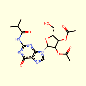 CC(=O)O[C@@H]1[C@H](OC(C)=O)[C@@H](CO)O[C@H]1n1cnc2c(=O)[nH]c(NC(=O)C(C)C)nc21